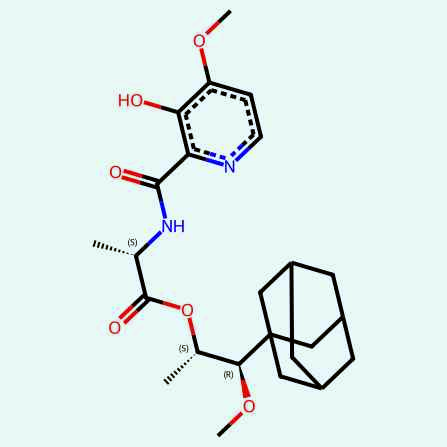 COc1ccnc(C(=O)N[C@@H](C)C(=O)O[C@@H](C)[C@H](OC)C23CC4CC(CC(C4)C2)C3)c1O